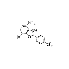 NC1=CCC(Br)C2=C1NC(c1ccc(C(F)(F)F)cc1)O2